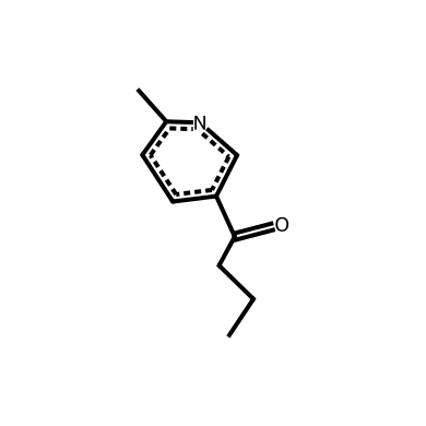 CCCC(=O)c1ccc(C)nc1